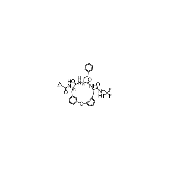 O=C(N[C@H]1Cc2cccc(c2)Oc2cccc(c2)CC(C(=O)NCC(F)(F)F)NC(=O)[C@H](CCc2ccccc2)NC1=O)C1CC1